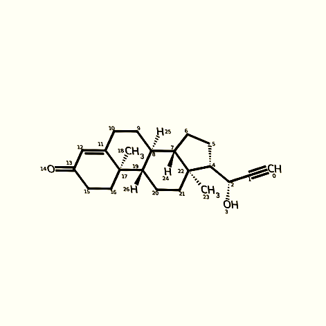 C#C[C@H](O)[C@H]1CC[C@H]2[C@@H]3CCC4=CC(=O)CC[C@]4(C)[C@H]3CC[C@]12C